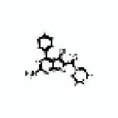 Nc1nc(-c2ccccc2)c2c(N)c(C(=O)N3CCOCC3)sc2n1